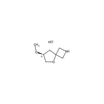 CO[C@@H]1COC2(CNC2)C1.Cl